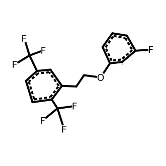 Fc1[c]c(OCCc2cc(C(F)(F)F)ccc2C(F)(F)F)ccc1